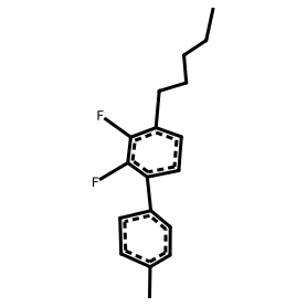 CCCCCc1ccc(-c2ccc(C)cc2)c(F)c1F